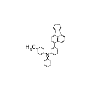 Cc1ccc(N(c2ccccc2)c2cccc(-c3ccc4c5c(cccc35)-c3ccccc3-4)c2)cc1